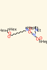 CCCCCCCC(=O)OCCN(CCOC(=O)N(CCCCCCC)CCCCCCCCCC(=O)OCC(CCCCCC)CCCCCC)CCN(CC)CC